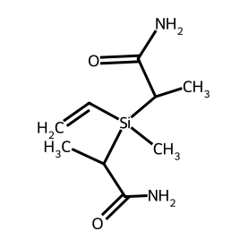 C=C[Si](C)(C(C)C(N)=O)C(C)C(N)=O